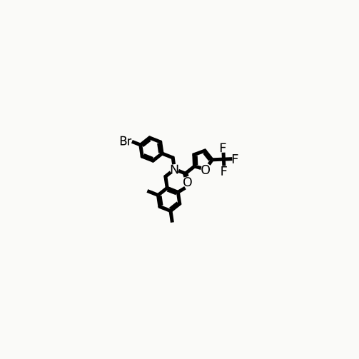 Cc1cc(C)c(CN(Cc2ccc(Br)cc2)C(=O)c2ccc(C(F)(F)F)o2)c(C)c1